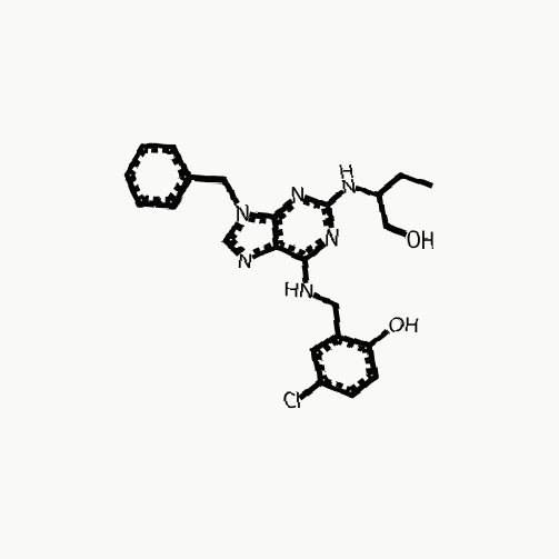 CCC(CO)Nc1nc(NCc2cc(Cl)ccc2O)c2ncn(Cc3ccccc3)c2n1